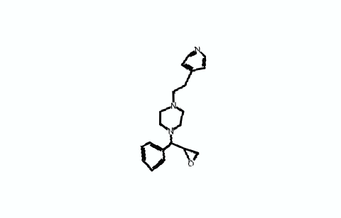 c1ccc(C(C2CO2)N2CCN(CCc3ccncc3)CC2)cc1